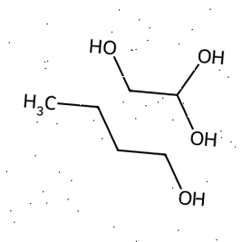 CCCCO.OCC(O)O